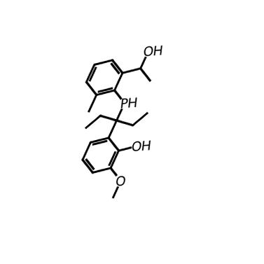 CCC(CC)(Pc1c(C)cccc1C(C)O)c1cccc(OC)c1O